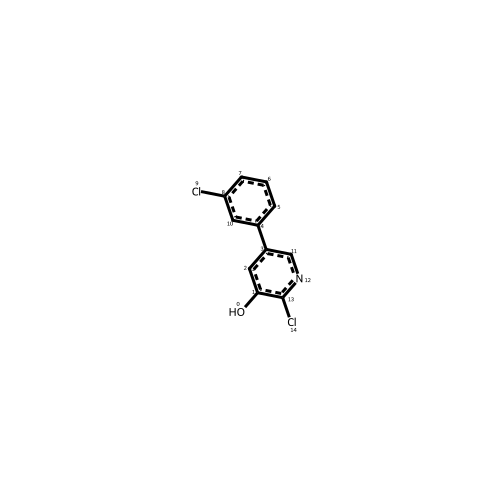 Oc1cc(-c2cccc(Cl)c2)cnc1Cl